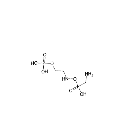 NCP(=O)(O)ONCCOP(=O)(O)O